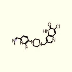 C/N=C\c1ccc(N2CCN(Cc3cnc4cc(Cl)c(=O)[nH]c4c3)CC2)c(F)n1